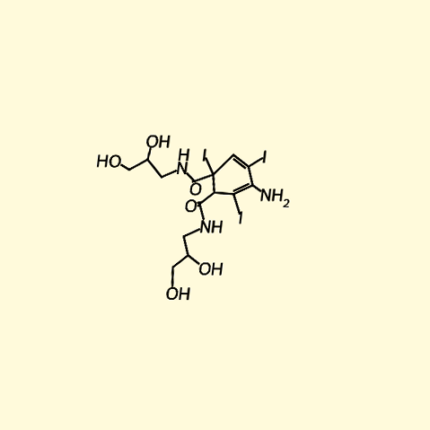 NC1=C(I)C(C(=O)NCC(O)CO)C(I)(C(=O)NCC(O)CO)C=C1I